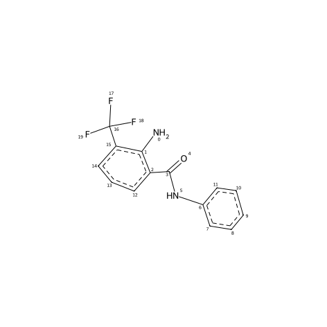 Nc1c(C(=O)Nc2ccccc2)cccc1C(F)(F)F